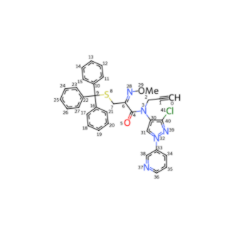 C#CCN(C(=O)C(CSC(c1ccccc1)(c1ccccc1)c1ccccc1)=NOC)c1cn(-c2cccnc2)nc1Cl